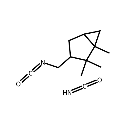 CC1(C)C(CN=C=O)CC2CC21C.N=C=O